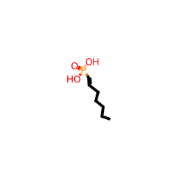 CCCCCC=CP(=O)(O)O